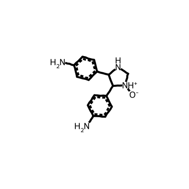 Nc1ccc(C2NC[NH+]([O-])C2c2ccc(N)cc2)cc1